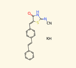 N#CN=C1NC(=O)C(=Cc2ccc(/C=C/c3ccccc3)cc2)S1.[KH]